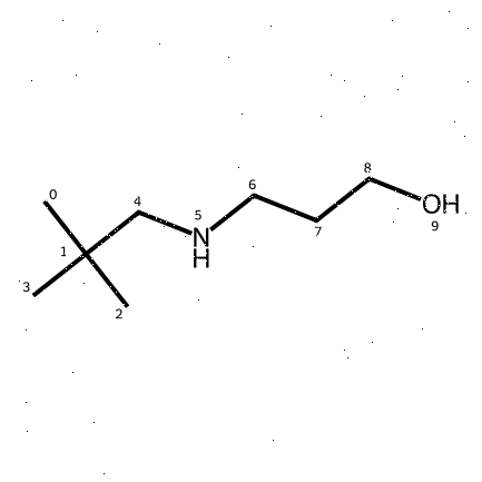 CC(C)(C)CNCCCO